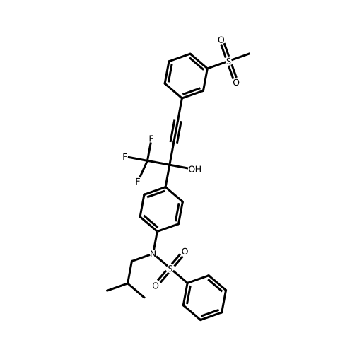 CC(C)CN(c1ccc(C(O)(C#Cc2cccc(S(C)(=O)=O)c2)C(F)(F)F)cc1)S(=O)(=O)c1ccccc1